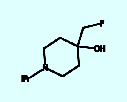 CC(C)N1CCC(O)(CF)CC1